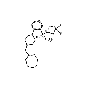 O=C(O)[C@](O)(c1ccccc1C1CCN(CC2CCCCCC2)CC1)[C@@H]1CCC(F)(F)C1